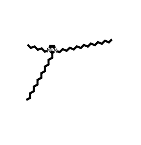 CCCCCCCCCCCCCCCCn1cc[n+](CCCCCC)c1CCCCCCCCCCCCCC